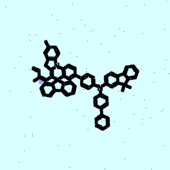 C=C/C(C)=C\C1=C2Cc3cc(C)ccc3N2c2ccc(-c3ccc(N(c4ccc(-c5ccccc5)cc4)c4ccc5c(c4)C(C)(C)c4ccccc4-5)cc3)cc2C12c1ccccc1-c1ccccc12